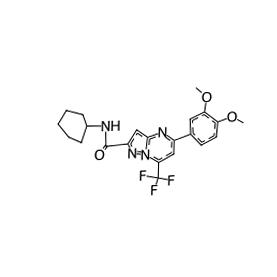 COc1ccc(-c2cc(C(F)(F)F)n3nc(C(=O)NC4CCCCC4)cc3n2)cc1OC